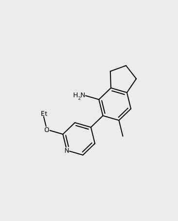 CCOc1cc(-c2c(C)cc3c(c2N)CCC3)ccn1